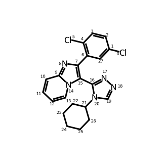 Clc1ccc(Cl)c(-c2nc3ccccn3c2-c2nncn2C2CCCCC2)c1